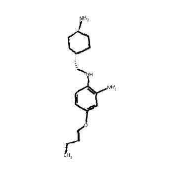 CCCCOc1ccc(NC[C@H]2CC[C@H](N)CC2)c(N)c1